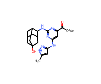 COC(=O)c1cc(Nc2cc(C)[nH]n2)nc(NC2C3CC4CC2CC(O)(C4)C3)n1